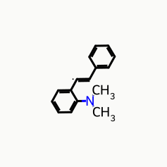 CN(C)c1ccccc1[C]=Cc1ccccc1